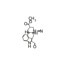 COC(=O)C1C[C@@H]2c3cccc4[nH]c(C=O)c(c34)C[C@H]2N(C#N)C1